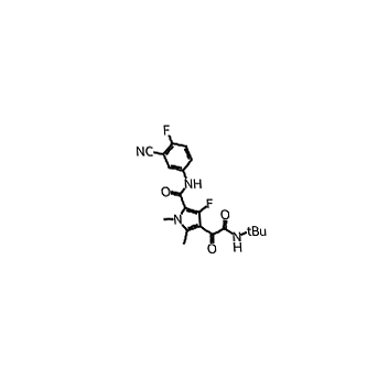 Cc1c(C(=O)C(=O)NC(C)(C)C)c(F)c(C(=O)Nc2ccc(F)c(C#N)c2)n1C